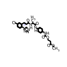 COC(=O)CCOC(=O)Nc1ccc(NC(=O)[C@H](C)NC(=O)/C=C/c2cc(Cl)ccc2-n2cnnn2)cc1